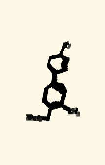 COCc1ccc(-c2ccc(C(F)(F)F)cc2)cc1C